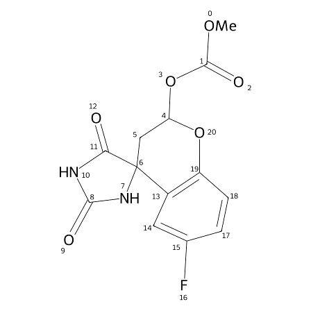 COC(=O)OC1CC2(NC(=O)NC2=O)c2cc(F)ccc2O1